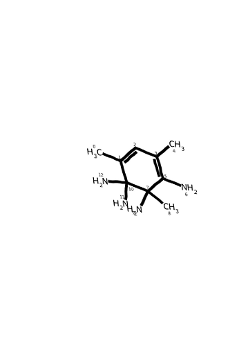 CC1=CC(C)=C(N)C(C)(N)C1(N)N